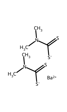 CN(C)C(=S)[S-].CN(C)C(=S)[S-].[Ba+2]